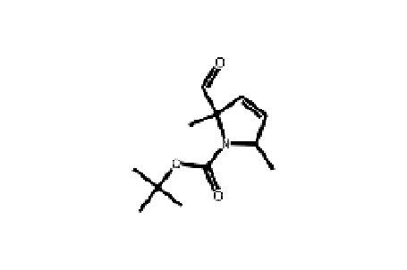 CC1C=CC(C)(C=O)N1C(=O)OC(C)(C)C